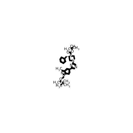 Cc1nn(COC(C)[Si](C)(C)C)c2ccc(-c3cncc(N4CCN(C(=O)OC(C)(C)C)[C@@H](Cc5ccccc5)C4)n3)cc12